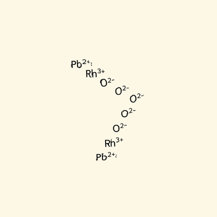 [O-2].[O-2].[O-2].[O-2].[O-2].[Pb+2].[Pb+2].[Rh+3].[Rh+3]